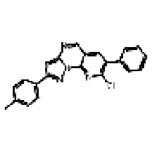 Cc1ccc(-c2cc3ncc4cc(-c5ccccc5)c(Cl)nc4n3n2)cc1